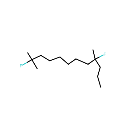 CCCC(C)(F)CCCCCCC(C)(C)F